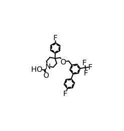 O=C(O)N1CCC(COCc2cc(-c3ccc(F)cc3)cc(C(F)(F)F)c2)(c2ccc(F)cc2)CC1